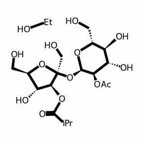 CC(=O)O[C@H]1[C@@H](O[C@]2(CO)O[C@H](CO)[C@@H](O)[C@@H]2OC(=O)C(C)C)O[C@H](CO)[C@@H](O)[C@@H]1O.CCO